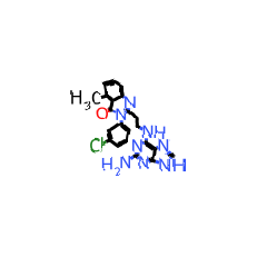 Cc1cccc2nc(CCNc3nc(N)nc4[nH]cnc34)n(-c3cccc(Cl)c3)c(=O)c12